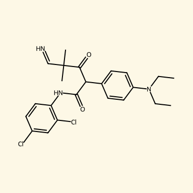 CCN(CC)c1ccc(C(C(=O)Nc2ccc(Cl)cc2Cl)C(=O)C(C)(C)C=N)cc1